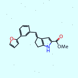 COC(=O)c1cc2c([nH]1)CC/C2=C\c1cccc(-c2ccco2)c1